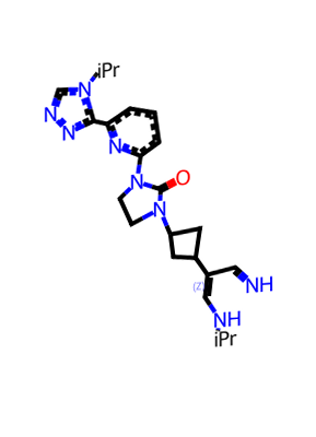 CC(C)N/C=C(\C=N)C1CC(N2CCN(c3cccc(-c4nncn4C(C)C)n3)C2=O)C1